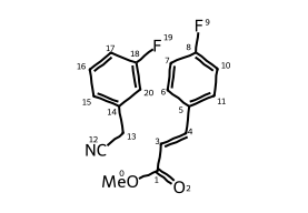 COC(=O)C=Cc1ccc(F)cc1.N#CCc1cccc(F)c1